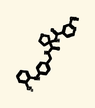 COc1cc(C(=O)NC2(C(=O)NCc3ccc(Nc4ccccc4C(F)(F)F)cc3)CCOC2)ccn1